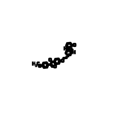 COc1ccc(-c2coc3cc(OCCN4C[C@@H]5C[C@H](C4)c4cccc(=O)n4C5)ccc3c2=O)cc1